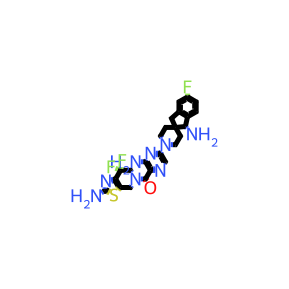 Nc1nc2c(s1)CN(C(=O)c1ncc(N3CCC4(CC3)Cc3cc(F)ccc3C4N)nc1N)CC2(F)F